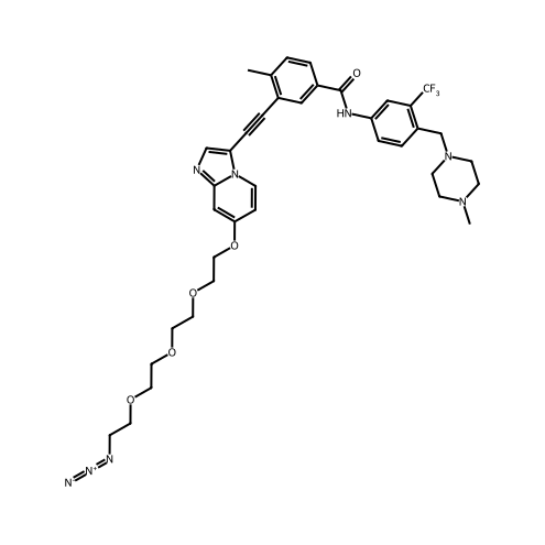 Cc1ccc(C(=O)Nc2ccc(CN3CCN(C)CC3)c(C(F)(F)F)c2)cc1C#Cc1cnc2cc(OCCOCCOCCOCCN=[N+]=[N-])ccn12